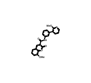 COc1ncccc1-c1cccc(NC(=O)c2cc3cccc(OC)c3oc2=O)c1